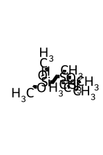 CCO[SiH](CC[Si](C)(C)O[Si](C)(C)C)OCC